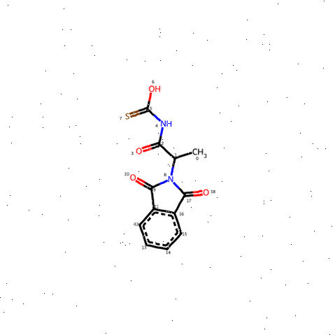 CC(C(=O)NC(O)=S)N1C(=O)c2ccccc2C1=O